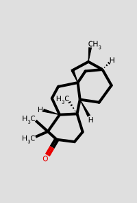 C[C@@H]1C[C@]23CC[C@H]4C(C)(C)C(=O)CC[C@]4(C)[C@H]2CC[C@H]1C3